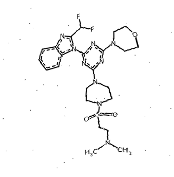 CN(C)CCS(=O)(=O)N1CCN(c2nc(N3CCOCC3)nc(-n3c(C(F)F)nc4ccccc43)n2)CC1